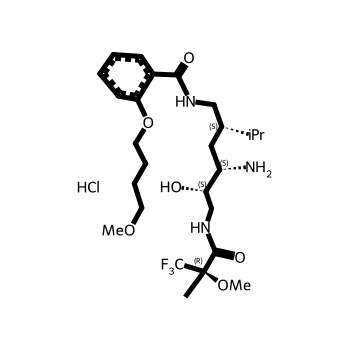 COCCCCOc1ccccc1C(=O)NC[C@@H](C[C@H](N)[C@@H](O)CNC(=O)[C@@](C)(OC)C(F)(F)F)C(C)C.Cl